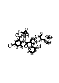 Cc1cc(Cl)cc(C(=O)NC2(C)CC2)c1NC(=O)c1cc(OC(C)CC([S+]=O)[S+]=O)nn1-c1ncccc1Cl